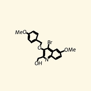 COc1ccc(COc2c(CO)nc3ccc(OC)cc3c2Br)cc1